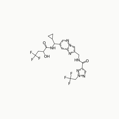 O=C(NCc1cn2ncc(C(NC(=O)C(O)CC(F)(F)F)C3CC3)cc2n1)c1cnn(CC(F)(F)F)n1